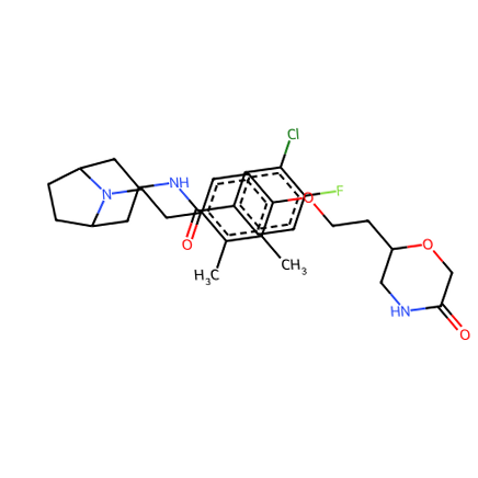 Cc1c(CCN2C3CCC2CC(NC(=O)c2ccc(F)c(Cl)c2)C3)ccc(OCCC2CNC(=O)CO2)c1C